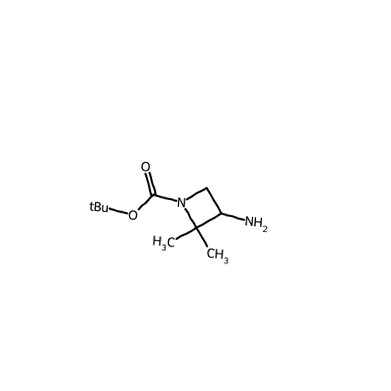 CC(C)(C)OC(=O)N1CC(N)C1(C)C